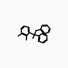 Cc1cccc(C(C)(Cc2ccccc2)c2ccccc2)c1C